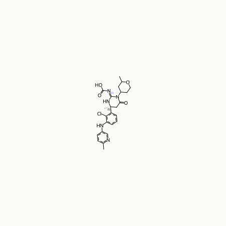 Cc1ccc(Nc2cccc([C@]3(C)CC(=O)N(C4CCOC(C)C4)/C(=N/C(=O)O)N3)c2Cl)cn1